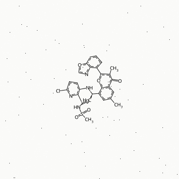 Cc1cc([C@@H](C)Nc2ccc(Cl)nc2C(=O)NS(C)(=O)=O)c2oc(-c3cccc4ocnc34)c(C)c(=O)c2c1